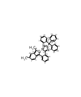 Cc1ccc2c(-c3ccccc3-c3nnn(C(c4ccccc4)(c4ccccc4)c4ccccc4)n3)oc(C)c2c1